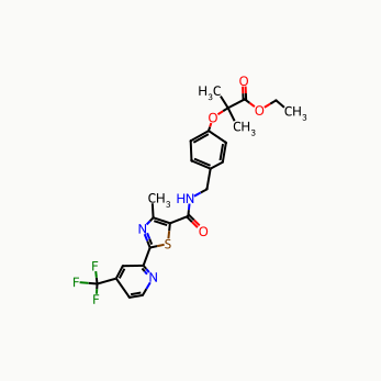 CCOC(=O)C(C)(C)Oc1ccc(CNC(=O)c2sc(-c3cc(C(F)(F)F)ccn3)nc2C)cc1